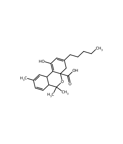 CCCCCC1=CC(O)=C2C3C=C(C)C=CC3C(C)(C)OC2(C(=O)O)C1